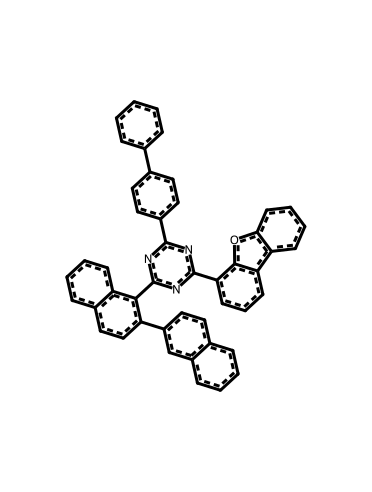 c1ccc(-c2ccc(-c3nc(-c4c(-c5ccc6ccccc6c5)ccc5ccccc45)nc(-c4cccc5c4oc4ccccc45)n3)cc2)cc1